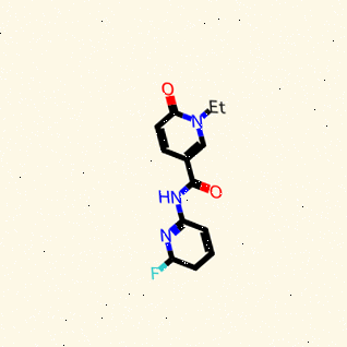 CCn1cc(C(=O)NC2=NC(F)CC=C2)ccc1=O